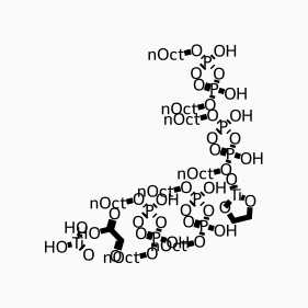 CCCCCCCCOP(=O)(O)OP(=O)(O)OCCCCCCCC.CCCCCCCCOP(=O)(O)OP(=O)(O)OCCCCCCCC.CCCCCCCCOP(=O)(O)OP(=O)(O)OCCCCCCCC.CCCCCCCCOP(=O)(O)OP(=O)(O)OCCCCCCCC.O=CC(=O)O.[O]=[Ti]([OH])[OH].[O]=[Ti]1[O]CC[O]1